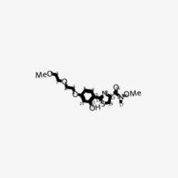 COCCOCCOc1ccc(C2=N[C@H](C(=O)N(C)OC)CS2)c(O)c1